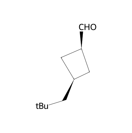 CC(C)(C)C[C@H]1C[C@@H](C=O)C1